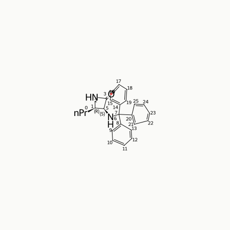 CCC[C@H]1NC(=O)[C@H]1NC(c1ccccc1)(c1ccccc1)c1ccccc1